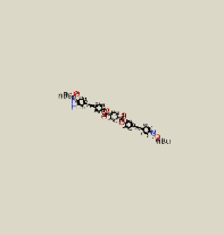 CCCCO/C=N/c1ccc(C#Cc2ccc(OC(=O)[C@H]3CC[C@H](C(=O)Oc4ccc(C#Cc5ccc(NC(=O)CCCC)cc5)cc4)CC3)cc2)cc1